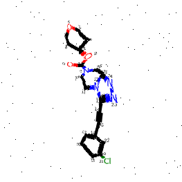 O=C(OC1CCOCC1)N1CCn2c(C#Cc3cccc(Cl)c3)nnc2C1